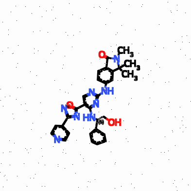 CN1C(=O)c2ccc(Nc3ncc(-c4nc(-c5ccncc5)no4)c(N[C@H](CO)c4ccccc4)n3)cc2C1(C)C